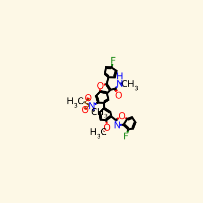 CNC(=O)c1c(-c2ccc(F)cc2)oc2cc(N(C)S(C)(=O)=O)c(-c3ccc(OC)c(-c4nc5c(F)cccc5o4)c3)cc12